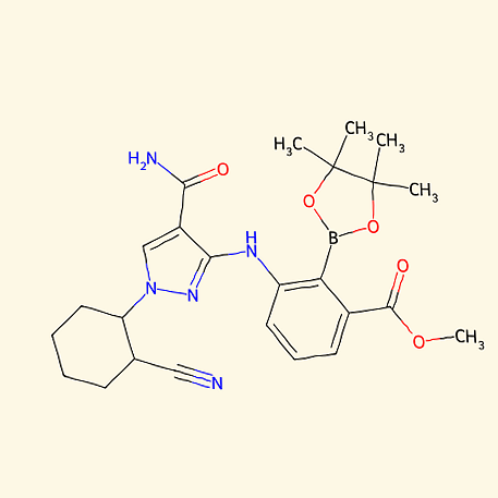 COC(=O)c1cccc(Nc2nn(C3CCCCC3C#N)cc2C(N)=O)c1B1OC(C)(C)C(C)(C)O1